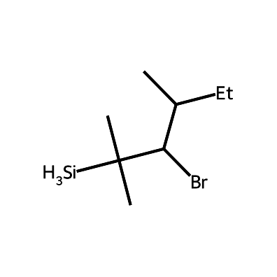 CCC(C)C(Br)C(C)(C)[SiH3]